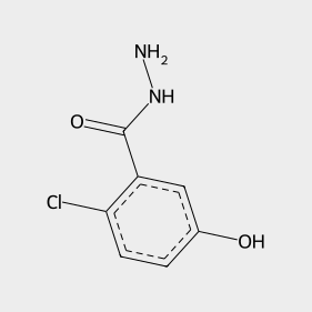 NNC(=O)c1cc(O)ccc1Cl